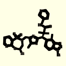 CC[C@@H]1CN(Cc2nc([C@@H](c3ccc4c(nnn4CC)c3C)C(C)(C)C(=O)Nc3cccnc3)sc2C)S(=O)(=O)c2cccnc2O1